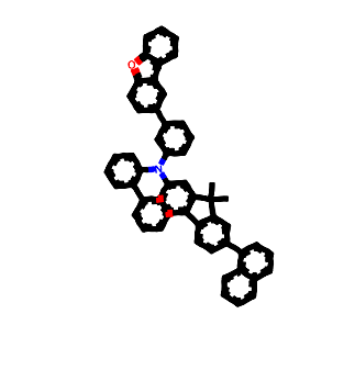 CC1(C)c2cc(-c3cccc4ccccc34)ccc2-c2ccc(N(c3cccc(-c4ccc5oc6ccccc6c5c4)c3)c3ccccc3-c3ccccc3)cc21